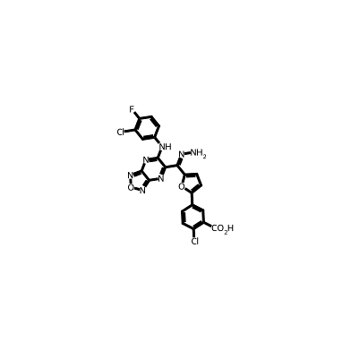 NN=C(c1ccc(-c2ccc(Cl)c(C(=O)O)c2)o1)c1nc2nonc2nc1Nc1ccc(F)c(Cl)c1